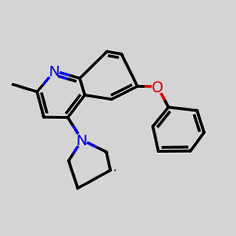 Cc1cc(N2C[CH]CC2)c2cc(Oc3ccccc3)ccc2n1